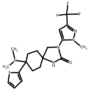 CN(C)C1(c2cccs2)CCC2(CC1)CN(c1cc(C(F)(F)F)nn1C)C(=O)N2